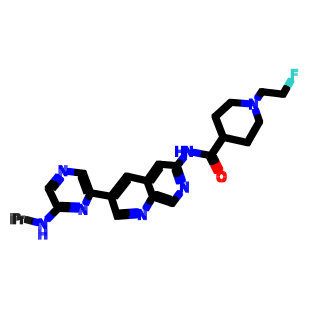 CC(C)Nc1cncc(-c2cnc3cnc(NC(=O)C4CCN(CCF)CC4)cc3c2)n1